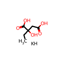 CCC(O)(CC(=O)O)C(=O)O.[KH]